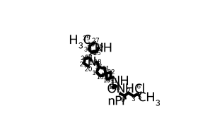 CCCC(CCC(C)Cl)CNC(=O)NC1CC2(CCC(CN3CCC[C@@H]3C3=CNCC(C)C3)C2)C1